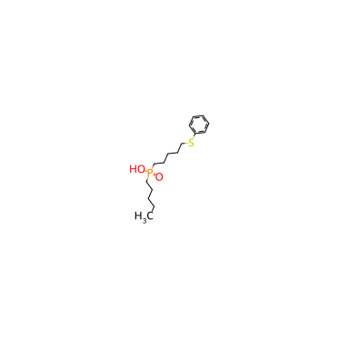 CCCCCP(=O)(O)CCCCCSc1ccccc1